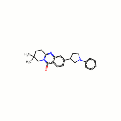 CC1(C)CCc2nc3cc(C4CCN(c5ccccc5)C4)ccc3c(=O)n2C1